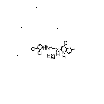 Cc1ccc2[nH]c(NCCCNCc3ccc(Cl)c(Cl)c3)cc(=O)c2c1.Cl.Cl